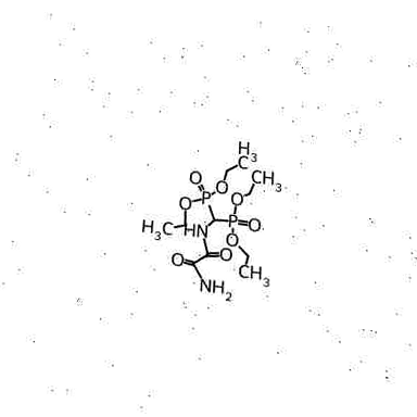 CCOP(=O)(OCC)C(NC(=O)C(N)=O)P(=O)(OCC)OCC